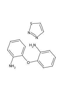 Nc1ccccc1Oc1ccccc1N.c1csnn1